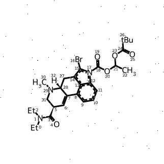 CCN(CC)C(=O)[C@@H]1C=C2c3cccc4c3c(c(Br)n4C(=O)OC(C)OC(=O)C(C)(C)C)C[C@H]2N(C)C1